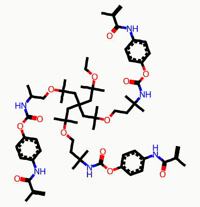 C=C(C)C(=O)Nc1ccc(OC(=O)NC(C)COC(C)(C)CC(CC(C)(C)OCC)(CC(C)(C)OCCC(C)(C)NC(=O)Oc2ccc(NC(=O)C(=C)C)cc2)CC(C)(C)OCCC(C)(C)NC(=O)Oc2ccc(NC(=O)C(=C)C)cc2)cc1